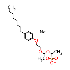 CCCCCCCCc1ccc(OCCOC(C)OC(C)S(=O)(=O)O)cc1.[Na]